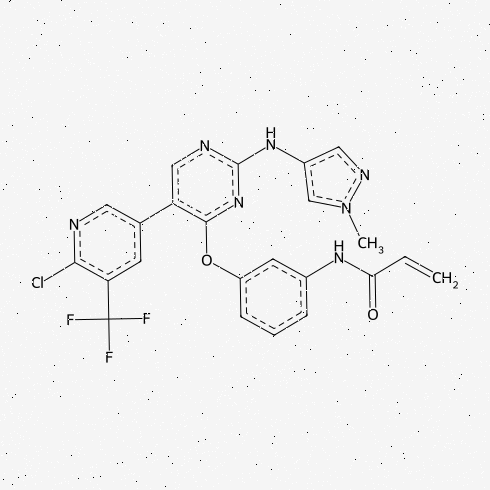 C=CC(=O)Nc1cccc(Oc2nc(Nc3cnn(C)c3)ncc2-c2cnc(Cl)c(C(F)(F)F)c2)c1